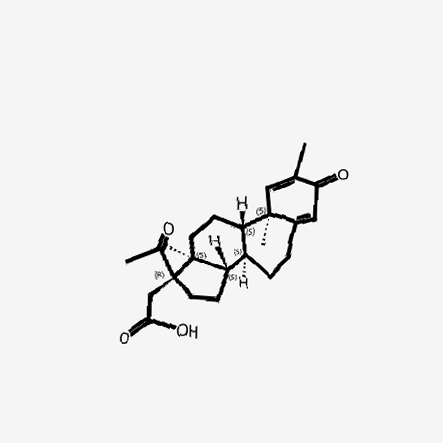 CC(=O)[C@@]1(CC(=O)O)CC[C@H]2[C@@H]3CCC4=CC(=O)C(C)=C[C@]4(C)[C@H]3CC[C@@]21C